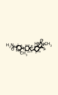 Cc1nc(C(N)=O)ccc1N1CCC(F)(Cc2ccc3c(=S)n(C)c(=O)[nH]c3c2)CC1